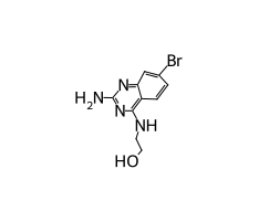 Nc1nc(NCCO)c2ccc(Br)cc2n1